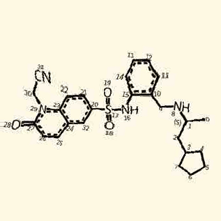 C[C@@H](CC1CCCC1)NCc1ccccc1NS(=O)(=O)c1ccc2c(ccc(=O)n2CC#N)c1